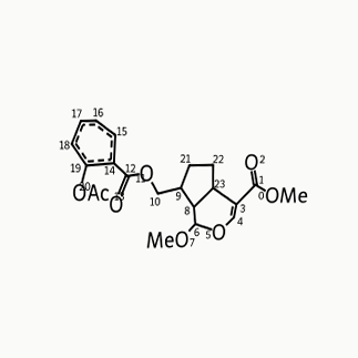 COC(=O)C1=COC(OC)C2C(COC(=O)c3ccccc3OC(C)=O)CCC12